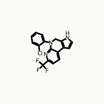 FC(F)(F)c1ccc2c(n1)N(c1ccccc1Cl)Cc1[nH]ccc1-2